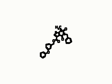 Cn1c(=O)n(Cc2ccccc2)c(=O)c2c(C(=O)OCc3cccc(Oc4ccccc4)c3)csc21